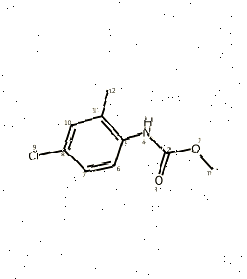 [CH2]OC(=O)Nc1ccc(Cl)cc1C